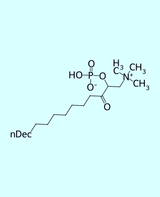 CCCCCCCCCCCCCCCCCC(=O)C(C[N+](C)(C)C)OP(=O)([O-])O